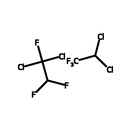 FC(F)(F)C(Cl)Cl.FC(F)C(F)(Cl)Cl